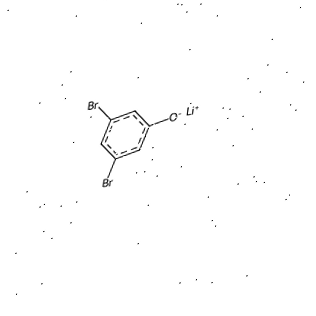 [Li+].[O-]c1cc(Br)cc(Br)c1